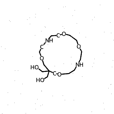 OCC1(CO)COCCNCCOCCOCCNCCOC1